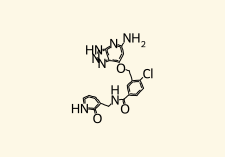 Nc1cc(OCc2cc(C(=O)NCc3ccc[nH]c3=O)ccc2Cl)c2nn[nH]c2n1